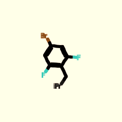 CC(C)Cc1c(F)cc(Br)cc1F